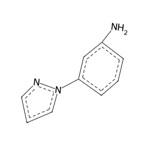 Nc1cccc(-n2cccn2)c1